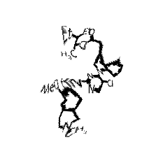 CCC(CC)C(C)OC(=O)Cc1cn(-c2nc(Nc3cc4c(cc3OC)CCN(C)C4)ncc2Cl)c2ccccc12